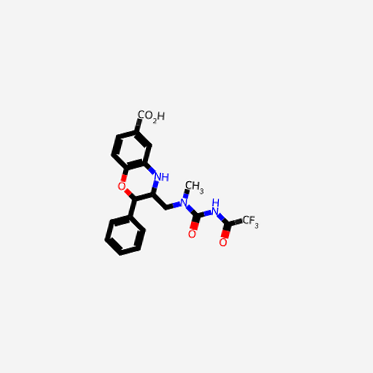 CN(CC1Nc2cc(C(=O)O)ccc2OC1c1ccccc1)C(=O)NC(=O)C(F)(F)F